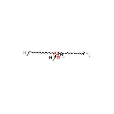 CC(=O)C(C)=O.CCCCCCCCCCCCCCCCCCOCCCCCCCCCCCCCCCCCC